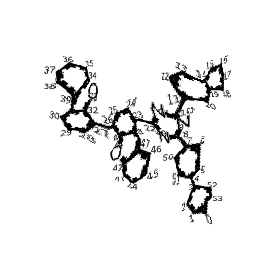 c1ccc(-c2ccc(-c3nc(-c4ccc5ccccc5c4)nc(-c4ccc(-c5cccc6c5oc5ccccc56)c5oc6ccccc6c45)n3)cc2)cc1